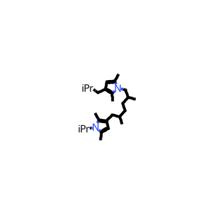 Cc1cc(CC(C)C)c(C)n1CC(C)CCC(C)Cc1cc(C)n(C(C)C)c1C